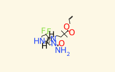 C=CCOC(=O)C(C)(C)CCN1[C@@H]2[C@H](CN1C(N)=O)NCC2(F)F